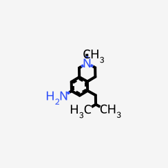 CC(C)Cc1cc(N)cc2c1CCN(C)C2